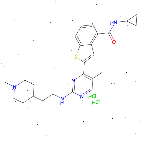 Cc1cnc(NCCC2CCN(C)CC2)nc1-c1cc2c(C(=O)NC3CC3)cccc2s1.Cl.Cl